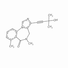 Cc1cccc2c1C(=O)N(C)Cc1c(C#CC(C)(C)O)ncn1-2